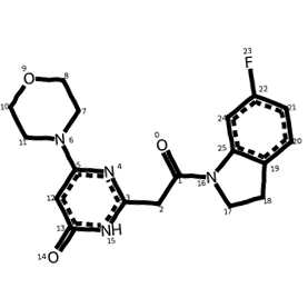 O=C(Cc1nc(N2CCOCC2)cc(=O)[nH]1)N1CCc2ccc(F)cc21